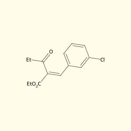 CCOC(=O)C(=Cc1cccc(Cl)c1)C(=O)CC